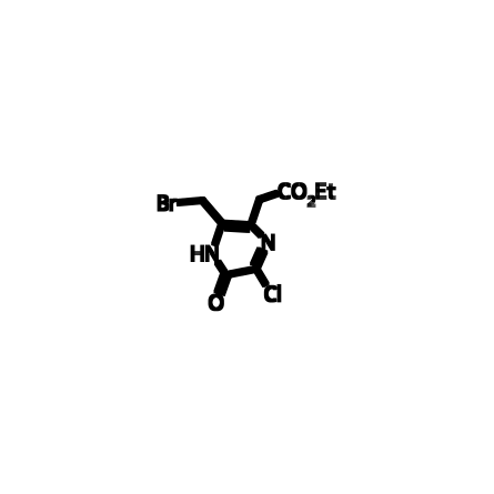 CCOC(=O)Cc1nc(Cl)c(=O)[nH]c1CBr